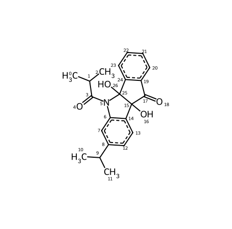 CC(C)C(=O)N1c2cc(C(C)C)ccc2C2(O)C(=O)c3ccccc3C12O